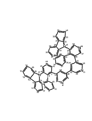 c1ccc(-c2c(-c3cncc(-c4cncc(-c5cncc(-n6c7ccccc7c7ccccc76)c5-c5ccccc5)c4)c3)cncc2-n2c3ccccc3c3ccccc32)cc1